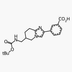 CC(C)(C)OC(=O)NCC1CCc2nc(-c3cccc(C(=O)O)c3)cn2C1